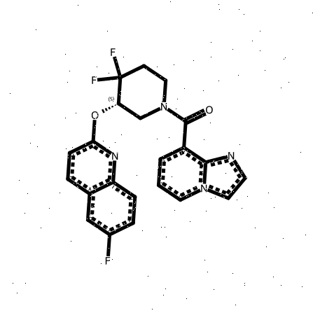 O=C(c1cccn2ccnc12)N1CCC(F)(F)[C@@H](Oc2ccc3cc(F)ccc3n2)C1